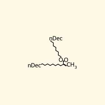 CC=C(CCCCCCCCCCCCCCCCCC)C(=O)OCCCCCCCCCCCCCCCCCC